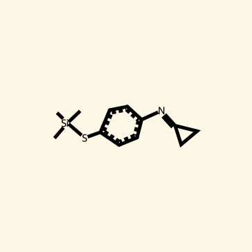 C[Si](C)(C)Sc1ccc(N=C2CC2)cc1